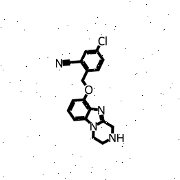 N#Cc1cc(Cl)ccc1COc1cccc2c1nc1n2CCNC1